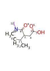 CC(C)C(CC(=O)O)C(=O)N(C)I